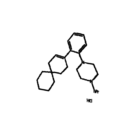 CCCN1CCN(c2ccccc2C2=CCC3(CCCCC3)CC2)CC1.Cl